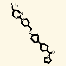 CCc1cnc(N2CCC(COc3ccc(C4=CCC(C(=O)N5CC=CC5)CC4)cc3)CC2)nc1